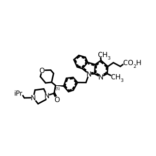 Cc1nc2c(c(C)c1CCC(=O)O)c1ccccc1n2Cc1ccc([C@@H](C(=O)N2CCN(CC(C)C)CC2)C2CCOCC2)cc1